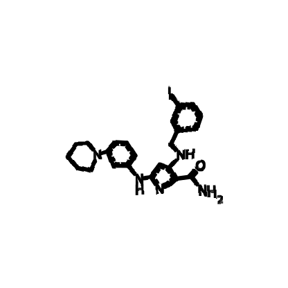 NC(=O)c1cnc(Nc2cccc(N3CCCCC3)c2)cc1NCc1cccc(I)c1